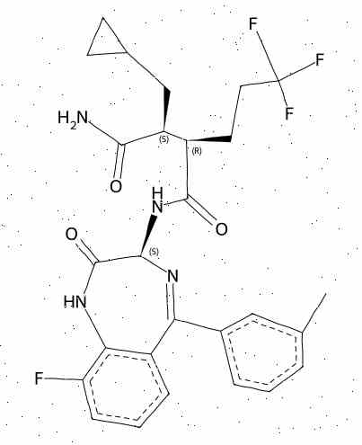 Cc1cccc(C2=N[C@H](NC(=O)[C@H](CCC(F)(F)F)[C@H](CC3CC3)C(N)=O)C(=O)Nc3c(F)cccc32)c1